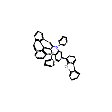 C1=Cc2cccc3cc4c(c(c23)C1)[Si](c1ccccc1)(c1ccccc1)c1ccc(-c2cccc3c2oc2ccccc23)cc1N4c1ccccc1